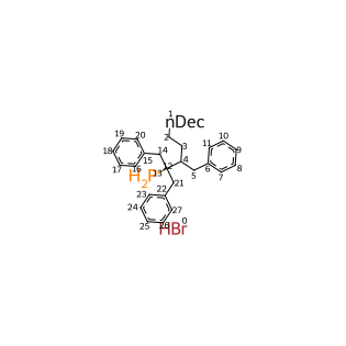 Br.CCCCCCCCCCCCC(Cc1ccccc1)C(P)(Cc1ccccc1)Cc1ccccc1